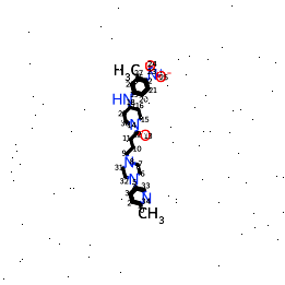 Cc1ccc(N2CCN(CCCC(=O)N3CCC(Nc4ccc([N+](=O)[O-])c(C)c4)CC3)CC2)cn1